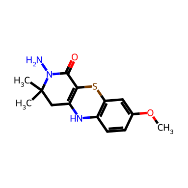 COc1ccc2c(c1)SC1=C(CC(C)(C)N(N)C1=O)N2